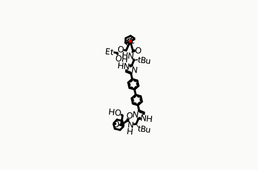 CCC(O)OCC1(C(=O)N[C@H](c2nc(-c3ccc(-c4ccc(-c5c[nH]c([C@@H](NC(=O)C6(CO)OC7CCC6CC7)C(C)(C)C)n5)cc4)cc3)c[nH]2)C(C)(C)C)OC2CCC1CC2